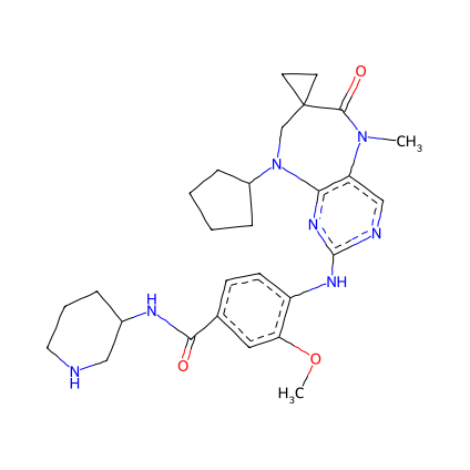 COc1cc(C(=O)NC2CCCNC2)ccc1Nc1ncc2c(n1)N(C1CCCC1)CC1(CC1)C(=O)N2C